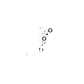 CCOC(=O)CN1CCN(CC[N+](C)(C(C)=O)c2ccc(NC(=O)Nc3ccccc3C)cc2)CC1